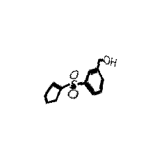 O=S(=O)(c1cccc(CO)c1)C1CCCC1